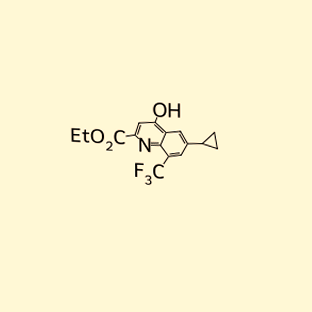 CCOC(=O)c1cc(O)c2cc(C3CC3)cc(C(F)(F)F)c2n1